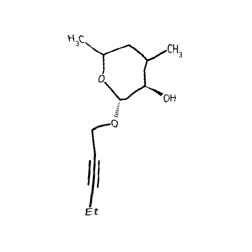 CCC#CCO[C@@H]1OC(C)CC(C)[C@H]1O